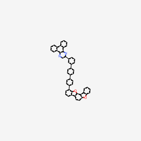 c1cc(-c2ccc(-c3ccc(-c4cccc5c4oc4c5ccc5oc6ccccc6c54)cc3)cc2)cc(-c2cnc3c4ccccc4c4ccccc4c3n2)c1